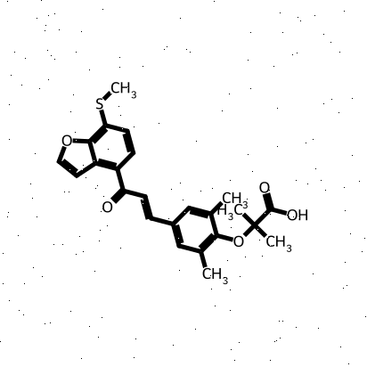 CSc1ccc(C(=O)/C=C/c2cc(C)c(OC(C)(C)C(=O)O)c(C)c2)c2ccoc12